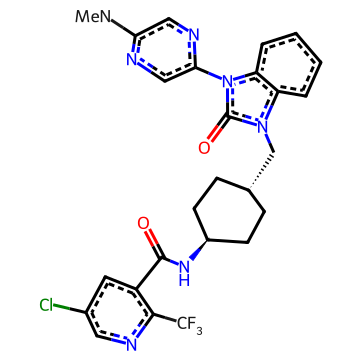 CNc1cnc(-n2c(=O)n(C[C@H]3CC[C@H](NC(=O)c4cc(Cl)cnc4C(F)(F)F)CC3)c3ccccc32)cn1